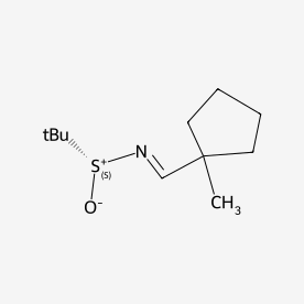 CC1(C=N[S@+]([O-])C(C)(C)C)CCCC1